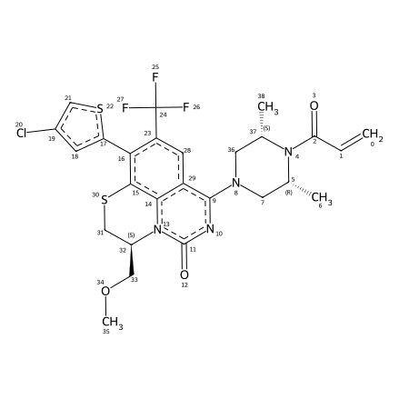 C=CC(=O)N1[C@H](C)CN(c2nc(=O)n3c4c(c(-c5cc(Cl)cs5)c(C(F)(F)F)cc24)SC[C@@H]3COC)C[C@@H]1C